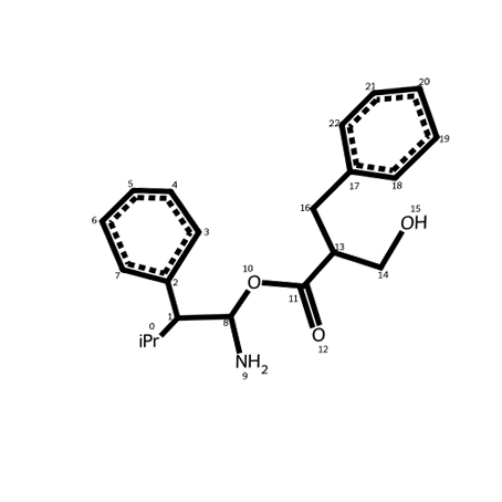 CC(C)C(c1ccccc1)C(N)OC(=O)C(CO)Cc1ccccc1